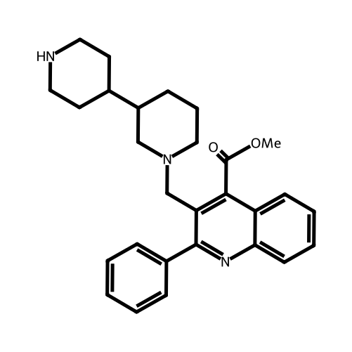 COC(=O)c1c(CN2CCCC(C3CCNCC3)C2)c(-c2ccccc2)nc2ccccc12